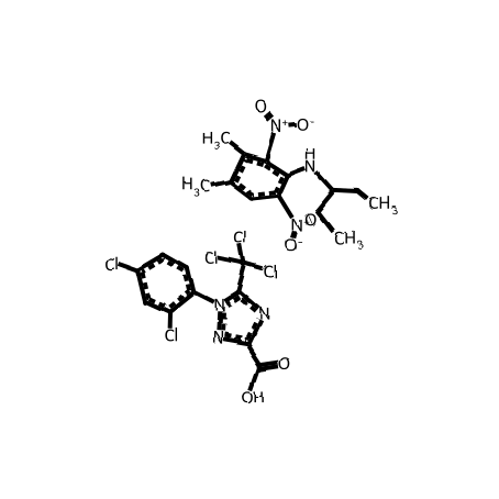 CCC(CC)Nc1c([N+](=O)[O-])cc(C)c(C)c1[N+](=O)[O-].O=C(O)c1nc(C(Cl)(Cl)Cl)n(-c2ccc(Cl)cc2Cl)n1